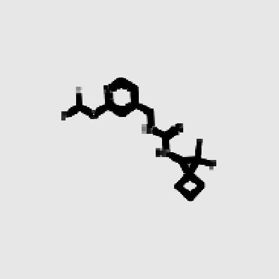 O=C(NCc1ccnc(OC(F)F)c1)NC1C(F)(F)C12CCC2